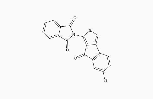 O=C1c2cc(Cl)ccc2-c2csc(N3C(=O)c4ccccc4C3=O)c21